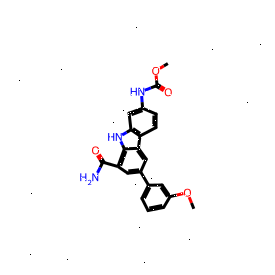 COC(=O)Nc1ccc2c(c1)[nH]c1c(C(N)=O)cc(-c3cccc(OC)c3)cc12